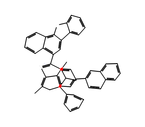 C/C1=C(c2ccc(-c3ccc4ccccc4c3)cc2)\N=C(\c2cc3c4ccccc4oc3c3ccccc23)C(C)C(C)C(c2ccccc2)C1